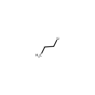 [Li][CH2][CH]C